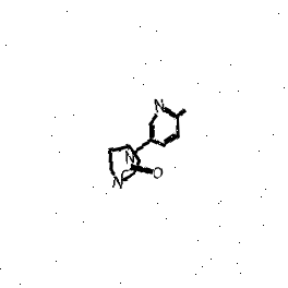 Cc1ccc(N2C(=O)CN3CCC2CC3)cn1